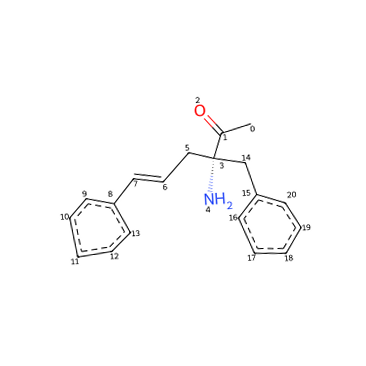 CC(=O)[C@](N)(C/C=C/c1ccccc1)Cc1ccccc1